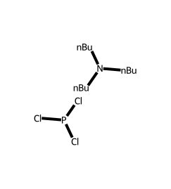 CCCCN(CCCC)CCCC.ClP(Cl)Cl